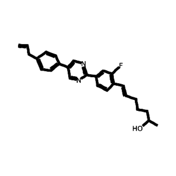 C=CCc1ccc(-c2cnc(-c3ccc(C=CCCCC(C)O)c(F)c3)nc2)cc1